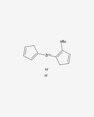 CCCCC1=[C]([Zr+2][C]2=CC=CC2)CC=C1.[H-].[H-]